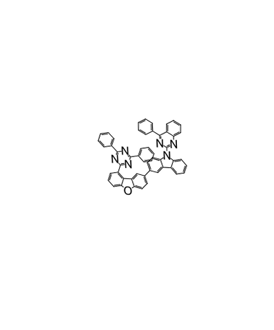 c1ccc(-c2nc(-c3ccccc3)nc(-c3cccc4oc5ccc(-c6ccc7c(c6)c6ccccc6n7-c6nc(-c7ccccc7)c7ccccc7n6)cc5c34)n2)cc1